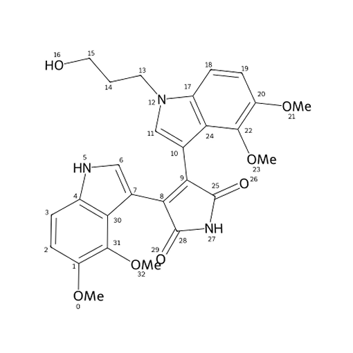 COc1ccc2[nH]cc(C3=C(c4cn(CCCO)c5ccc(OC)c(OC)c45)C(=O)NC3=O)c2c1OC